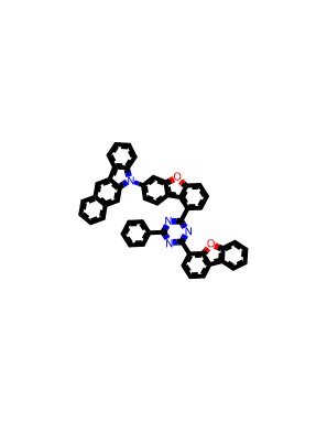 c1ccc(-c2nc(-c3cccc4c3oc3ccccc34)nc(-c3cccc4oc5cc(-n6c7ccccc7c7cc8ccccc8cc76)ccc5c34)n2)cc1